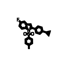 Cc1ccc(S(=O)(=O)n2c(-c3ccc(C4CC4)cc3)cc3cc(F)ccc32)cc1